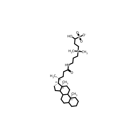 C[C@H](CCC(=O)NCCC[N+](C)(C)CCC(O)S(=O)(=O)[O-])[C@H]1CCC2C3CCC4CCCC[C@]4(C)C3CC[C@@]21C